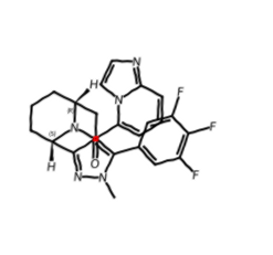 Cn1nc2c(c1-c1cc(F)c(F)c(F)c1)C[C@H]1CCC[C@@H]2N1C(=O)c1cccc2nccn12